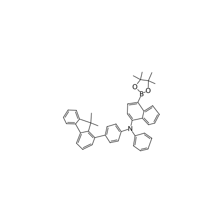 CC1(C)c2ccccc2-c2cccc(-c3ccc(N(c4ccccc4)c4ccc(B5OC(C)(C)C(C)(C)O5)c5ccccc45)cc3)c21